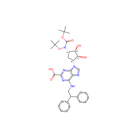 CC(C)(C)OC(=O)N(OC(C)(C)C)[C@H]1C[C@@H](n2cnc3c(NCC(c4ccccc4)c4ccccc4)nc(C(=O)O)nc32)[C@H](O)[C@@H]1O